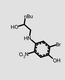 CCCCC(O)CNc1cc(Br)c(O)cc1[N+](=O)[O-]